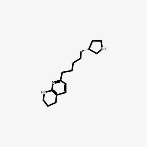 c1cc2c(nc1CCCCC[C@@H]1CCNC1)NCCC2